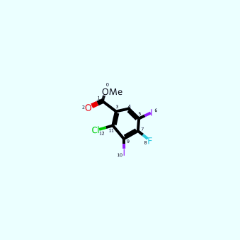 COC(=O)c1cc(I)c(F)c(I)c1Cl